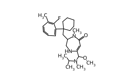 COC(C1=CC(=O)N(C)C(CC2(C3=CC=C=CC(C)=C3F)CCCCC2)CN1)N(C)C(C)C